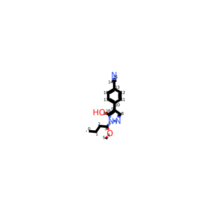 [CH2]CCC(OC)n1ncc(-c2ccc(C#N)cc2)c1O